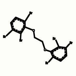 Brc1ccc(Br)c(OCCOc2c(Br)ccc(Br)c2Br)c1Br